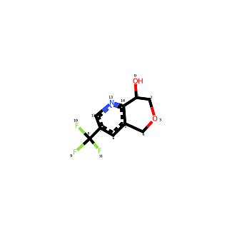 OC1COCc2cc(C(F)(F)F)cnc21